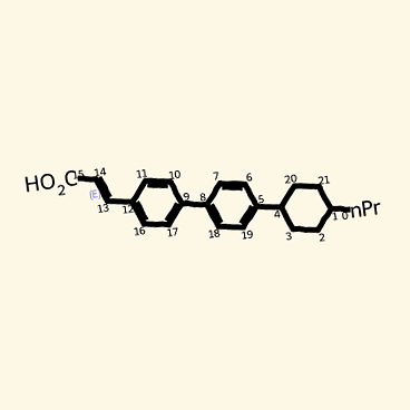 CCCC1CCC(c2ccc(-c3ccc(/C=C/C(=O)O)cc3)cc2)CC1